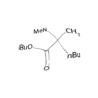 CCCCC(C)(NC)C(=O)OCC(C)C